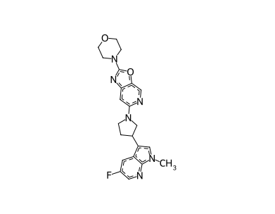 Cn1cc(C2CCN(c3cc4nc(N5CCOCC5)oc4cn3)C2)c2cc(F)cnc21